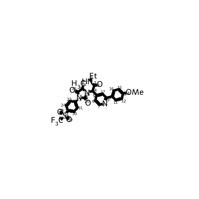 CCNC(=O)C(c1ccnc(-c2ccc(OC)cc2)c1)N1C(=O)N(c2ccc(S(=O)(=O)C(F)(F)F)cc2)C(=O)C1C